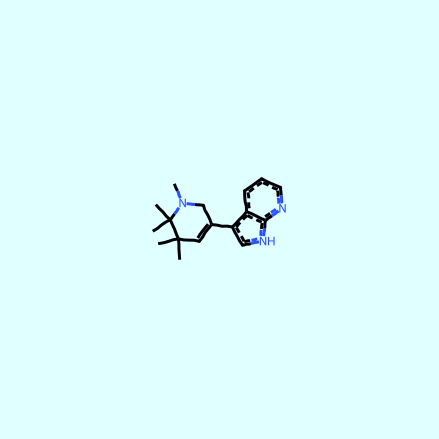 CN1CC(c2c[nH]c3ncccc23)=CC(C)(C)C1(C)C